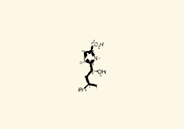 CC(C)[C@H](C)C[C@@H](O)c1nc(C(=O)O)cs1